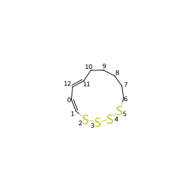 C1=C\SSSSCCCCC/C=C/1